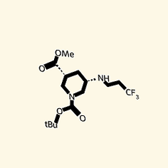 COC(=O)[C@@H]1C[C@H](NCCC(F)(F)F)CN(C(=O)OC(C)(C)C)C1